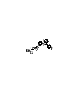 CCN(CC)CCNC(=O)COc1cccc(-n2nc(-c3ccc(F)cc3)c3cccnc32)c1